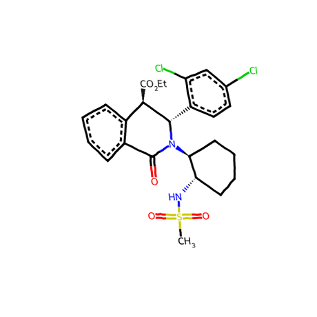 CCOC(=O)[C@@H]1c2ccccc2C(=O)N([C@H]2CCCC[C@@H]2NS(C)(=O)=O)[C@H]1c1ccc(Cl)cc1Cl